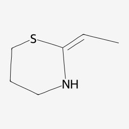 CC=C1NCCCS1